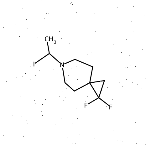 CC(I)N1CCC2(CC1)CC2(F)F